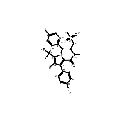 Cc1ccc(Cn2c(C(=O)N(C)CCS(C)(=O)=O)c(-c3ccc(Cl)cc3)c(C)c2C(F)(F)F)nc1